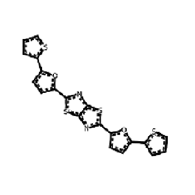 c1csc(-c2ccc(-c3nc4sc(-c5ccc(-c6cccs6)o5)nc4s3)o2)c1